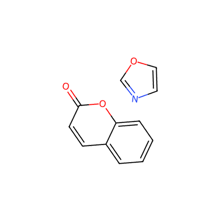 O=c1ccc2ccccc2o1.c1cocn1